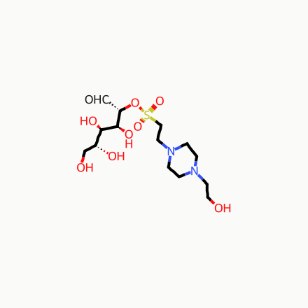 O=C[C@H](OS(=O)(=O)CCN1CCN(CCO)CC1)[C@@H](O)[C@H](O)[C@H](O)CO